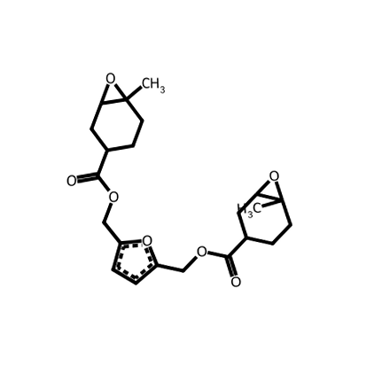 CC12CCC(C(=O)OCc3ccc(COC(=O)C4CCC5(C)OC5C4)o3)CC1O2